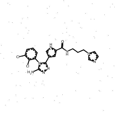 Nc1nnc(-c2c[nH]c(C(=O)NCCCn3ccnc3)c2)n1-c1cccc(Cl)c1Cl